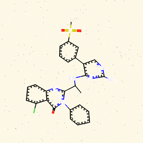 CNS(=O)(=O)c1cccc(-c2cnc(N)nc2NC(C)c2nc3cccc(Cl)c3c(=O)n2-c2ccccc2)c1